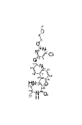 COCCOc1nc(Cl)cc(Oc2ccc3c(ccc4oc5c(c43)NCC(C)NC5=O)n2)n1